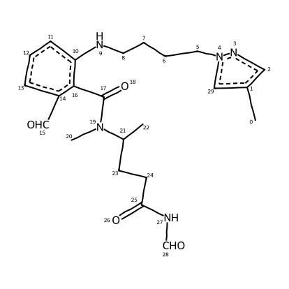 Cc1cnn(CCCCNc2cccc(C=O)c2C(=O)N(C)C(C)CCC(=O)NC=O)c1